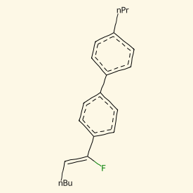 CCCCC=C(F)c1ccc(-c2ccc(CCC)cc2)cc1